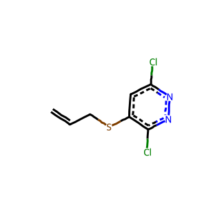 C=CCSc1cc(Cl)nnc1Cl